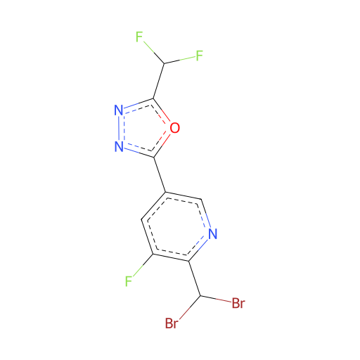 Fc1cc(-c2nnc(C(F)F)o2)cnc1C(Br)Br